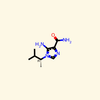 CC(C)[C@@H](C)n1cnc(C(N)=O)c1N